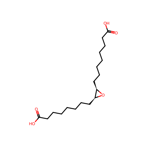 O=C(O)CCCCCCC[C@@H]1O[C@@H]1CCCCCCCC(=O)O